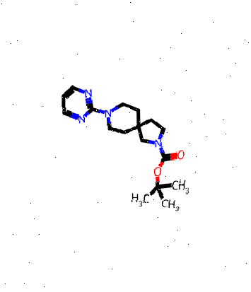 CC(C)(C)OC(=O)N1CCC2(CCN(c3ncccn3)CC2)C1